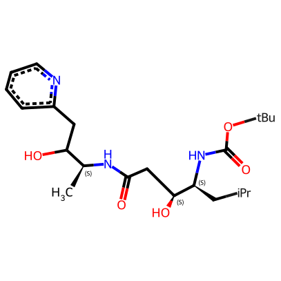 CC(C)C[C@H](NC(=O)OC(C)(C)C)[C@@H](O)CC(=O)N[C@@H](C)C(O)Cc1ccccn1